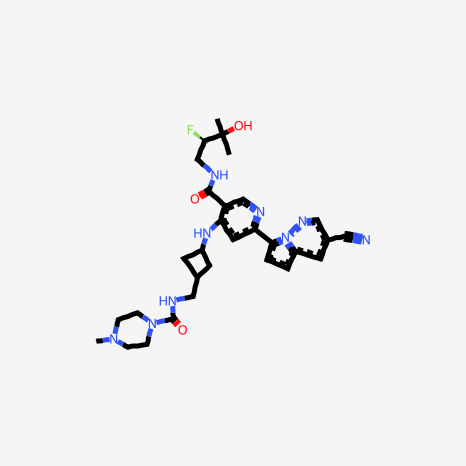 CN1CCN(C(=O)NCC2CC(Nc3cc(-c4ccc5cc(C#N)cnn45)ncc3C(=O)NC[C@@H](F)C(C)(C)O)C2)CC1